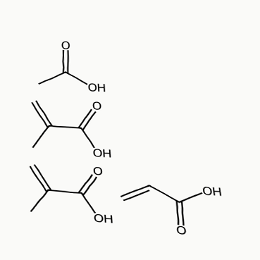 C=C(C)C(=O)O.C=C(C)C(=O)O.C=CC(=O)O.CC(=O)O